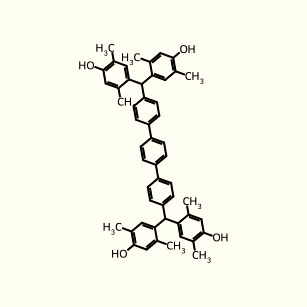 Cc1cc(C(c2ccc(-c3ccc(-c4ccc(C(c5cc(C)c(O)cc5C)c5cc(C)c(O)cc5C)cc4)cc3)cc2)c2cc(C)c(O)cc2C)c(C)cc1O